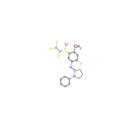 Cc1cc(F)c(N=C2CCCN2c2ccccc2)cc1[S+]([O-])C(F)C(F)F